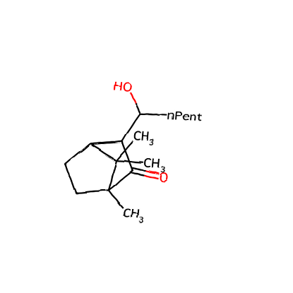 CCCCCC(O)C1C(=O)C2(C)CCC1C2(C)C